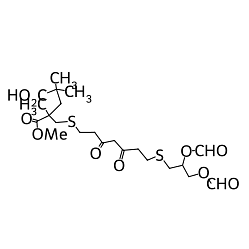 COC(=O)C(C)(CSCCC(=O)CC(=O)CCSCC(COC=O)OC=O)CC(C)(C)C(=O)O